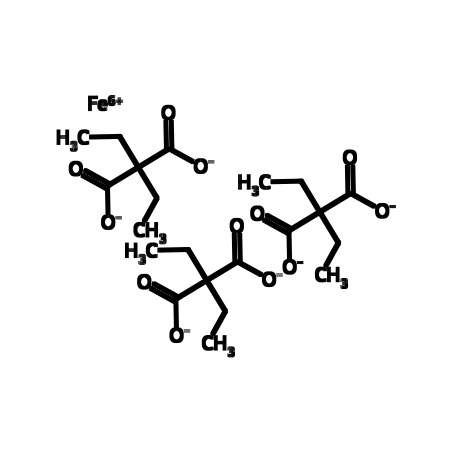 CCC(CC)(C(=O)[O-])C(=O)[O-].CCC(CC)(C(=O)[O-])C(=O)[O-].CCC(CC)(C(=O)[O-])C(=O)[O-].[Fe+6]